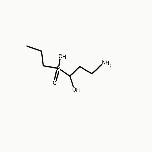 CCCP(=O)(O)C(O)CCN